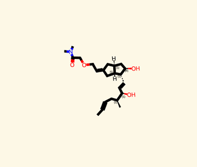 CC#CC[C@H](C)[C@H](O)C=C[C@@H]1[C@H]2CC(=CCOCC(=O)N(C)C)C[C@H]2C[C@H]1O